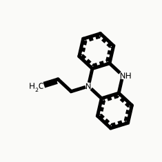 C=CCN1c2ccccc2Nc2ccccc21